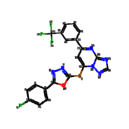 Fc1ccc(-c2nnc(Sc3cc(-c4cccc(C(F)(F)F)c4)nc4ncnn34)o2)cc1